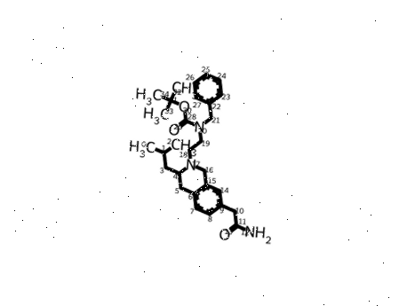 CC(C)CC1Cc2ccc(CC(N)=O)cc2CN1CCN(Cc1ccccc1)C(=O)OC(C)(C)C